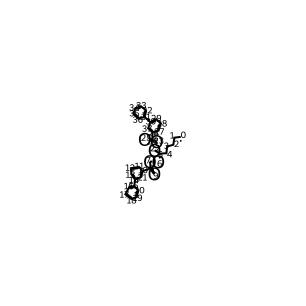 [CH2]CCCC[C](OOC(=O)c1cccc(-c2ccccc2)c1)OOC(=O)c1cccc(-c2ccccc2)c1